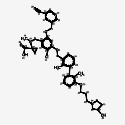 Cc1c(COc2cc(OCc3cncc(C#N)c3)c(CN(C)C3(C(=O)O)CC3)cc2Cl)cccc1-c1cccc(OCCCN2CCC(O)C2)c1C